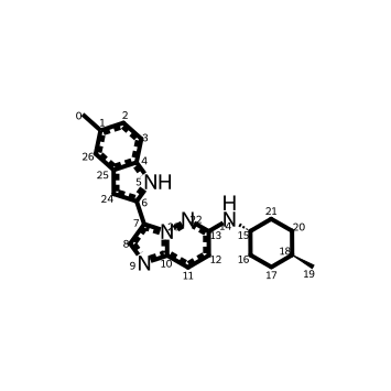 Cc1ccc2[nH]c(-c3cnc4ccc(N[C@H]5CC[C@H](C)CC5)nn34)cc2c1